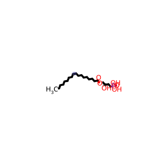 CCCCCCCC/C=C\CCCCCCCC(=O)OC[C@@H](O)CCP(=O)(O)O